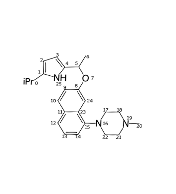 CC(C)c1ccc(C(C)Oc2ccc3cccc(N4CCN(C)CC4)c3c2)[nH]1